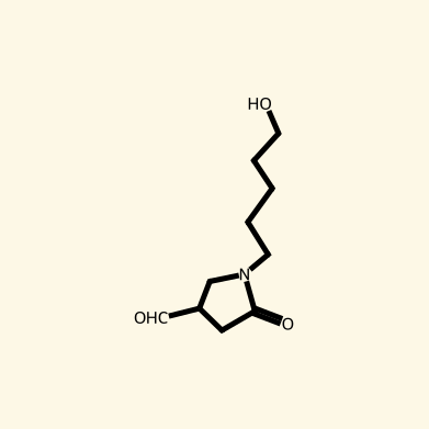 O=CC1CC(=O)N(CCCCCO)C1